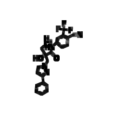 CC[C@](O)(Cn1ccc(-c2ccccc2)n1)C(=O)Nc1ccc(C#N)c(C(F)(F)F)c1